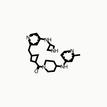 Cc1cc(NC2CCN(C(=O)C3CC(Cc4cc(NC5CNC5)ccn4)C3)CC2)ccn1